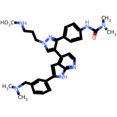 CN(C)Cc1cccc(-c2cc3c(-c4cn(CCCNC(=O)O)nc4-c4ccc(NC(=O)N(C)C)cc4)ccnc3[nH]2)c1